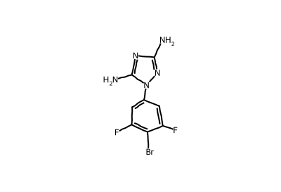 Nc1nc(N)n(-c2cc(F)c(Br)c(F)c2)n1